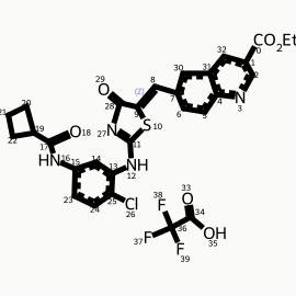 CCOC(=O)c1cnc2ccc(/C=C3\SC(Nc4cc(NC(=O)C5CCC5)ccc4Cl)=NC3=O)cc2c1.O=C(O)C(F)(F)F